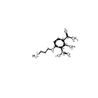 CCCCOc1ccc(C(C)=O)c(O)c1[N+](=O)[O-]